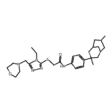 CCn1c(CN2CCOCC2)nnc1SCC(=O)Nc1ccc(C2(C)CC3CC(C)CC(C3)C2)cc1